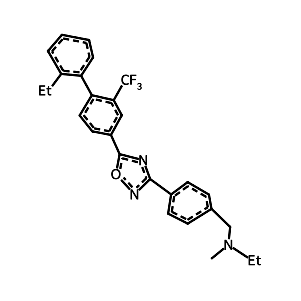 CCc1ccccc1-c1ccc(-c2nc(-c3ccc(CN(C)CC)cc3)no2)cc1C(F)(F)F